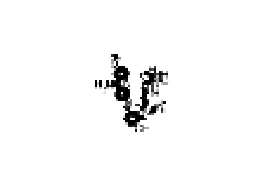 CCOc1ccc2nc3cc(/N=N/c4ccc(O)c(CN(CCN(C)C)C(=O)CCCC[C@@H]5SC[C@@H]6NC(=O)N[C@@H]65)c4)ccc3c(N)c2c1